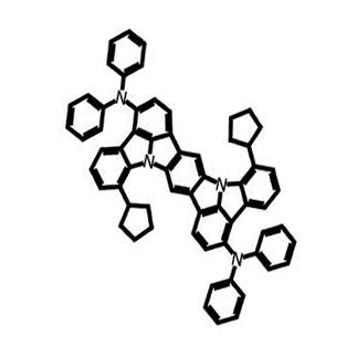 c1ccc(N(c2ccccc2)c2ccc3c4cc5c(cc4n4c6c(C7CCCC7)cccc6c2c34)c2ccc(N(c3ccccc3)c3ccccc3)c3c4cccc(C6CCCC6)c4n5c23)cc1